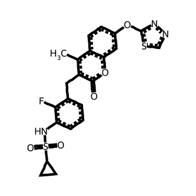 Cc1c(Cc2cccc(NS(=O)(=O)C3CC3)c2F)c(=O)oc2cc(Oc3nncs3)ccc12